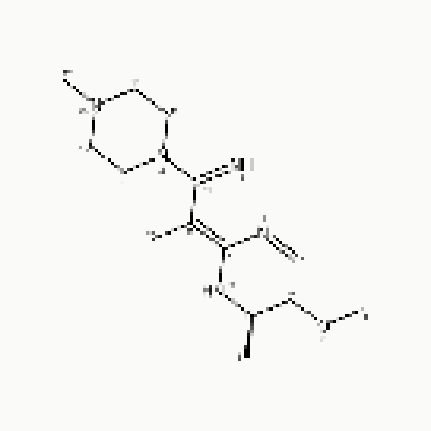 C=N/C(N[C@H](C)COC)=C(/C)C(=N)N1CCN(C)CC1